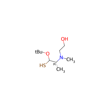 C[C@H](C(S)OC(C)(C)C)N(C)CCO